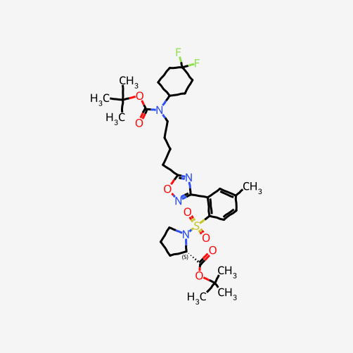 Cc1ccc(S(=O)(=O)N2CCC[C@H]2C(=O)OC(C)(C)C)c(-c2noc(CCCCN(C(=O)OC(C)(C)C)C3CCC(F)(F)CC3)n2)c1